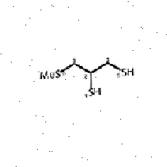 CSCC(S)CS